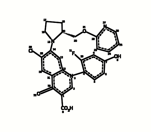 O=C(O)c1cn(-c2ccc(O)cc2F)c2cc(N3CCC[C@@H]3COc3ccccn3)c(Cl)cc2c1=O